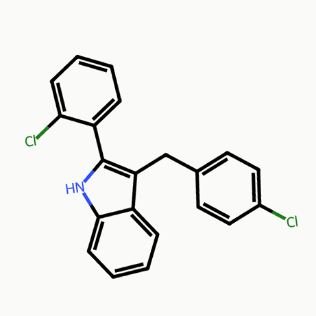 Clc1ccc(Cc2c(-c3ccccc3Cl)[nH]c3ccccc23)cc1